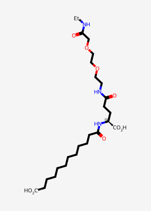 CCNC(=O)COCCOCCNC(=O)CC[C@H](NC(=O)CCCCCCCCCCC(=O)O)C(=O)O